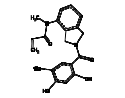 C=CC(=O)N(C)c1cccc2c1CN(C(=O)c1cc(C(C)(C)C)c(O)cc1O)C2